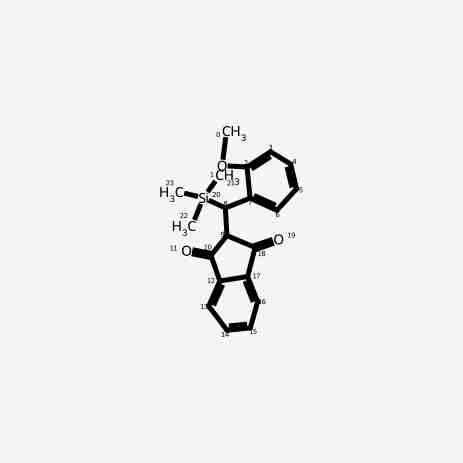 COc1ccccc1C(C1C(=O)c2ccccc2C1=O)[Si](C)(C)C